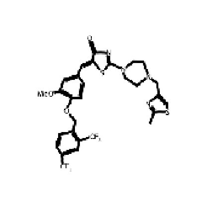 COc1cc(/C=C2\SC(N3CCN(Cc4csc(C)n4)CC3)=NC2=O)ccc1OCc1ccc(C(F)(F)F)cc1C(F)(F)F